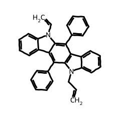 C=CCn1c2ccccc2c2c(-c3ccccc3)c3c(c(-c4ccccc4)c21)c1ccccc1n3C=C